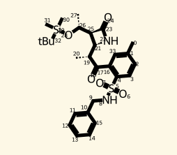 Cc1ccc(S(=O)(=O)NCc2ccccc2)c(C(=O)[C@H](C)[C@H]2NC(=O)[C@@H]2[C@@H](C)O[Si](C)(C)C(C)(C)C)c1